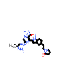 CC(N)CNc1cnc(C(N)=O)c(-c2cc3cc(CCN4CCCC4=O)ccc3[nH]2)n1